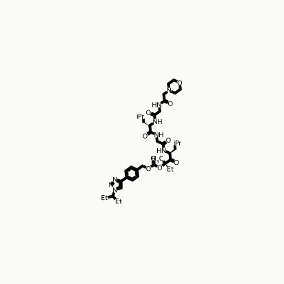 CCC(CC)n1cc(-c2ccc(COC(=O)O[C@](C)(CC)C(=O)[C@H](CC(C)C)NC(=O)CNC(=O)[C@H](CC(C)C)NC(=O)CNC(=O)CN3CCOCC3)cc2)nn1